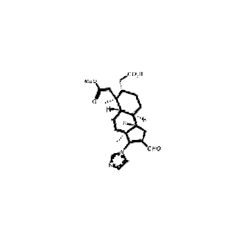 COC(=O)C[C@@]1(C)[C@H](CC(=O)O)CC[C@@H]2[C@@H]1CC[C@]1(C)C(n3ccnc3)=C(C=O)C[C@@H]21